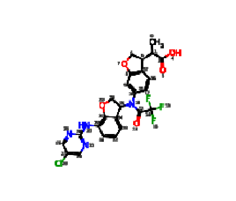 CC(C(=O)O)[C@@H]1COc2cc(N(C(=O)C(F)(F)F)[C@@H]3COc4c(Nc5ncc(Cl)cn5)cccc43)ccc21